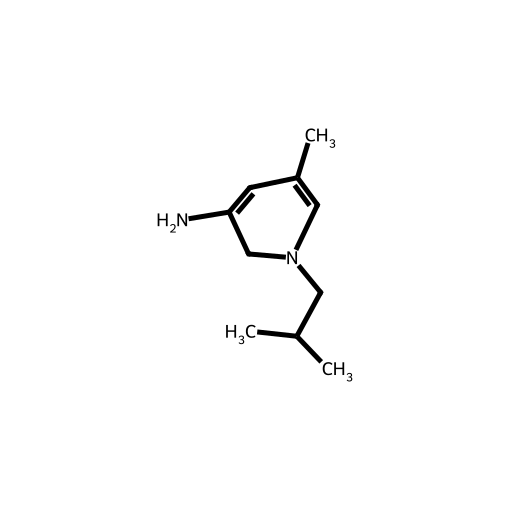 CC1=CN(CC(C)C)CC(N)=C1